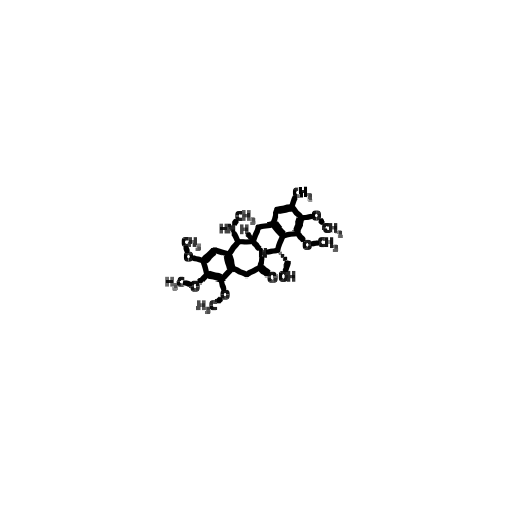 CNC1c2cc(OC)c(OC)c(OC)c2CC(=O)N2[C@@H](CO)c3c(cc(C)c(OC)c3OC)C[C@@H]12